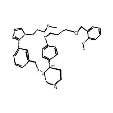 COCCCn1ccnc1-c1cccc(CO[C@H]2CNCC[C@@H]2c2ccc(OCCCOCc3ccccc3OC)cc2)c1